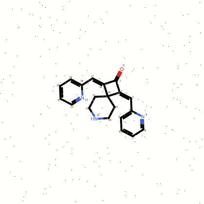 O=C1/C(=C/c2ccccn2)C2(CCNCC2)/C1=C\c1ccccn1